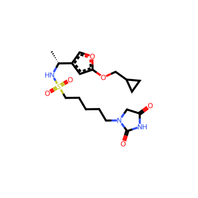 C[C@@H](NS(=O)(=O)CCCCCN1CC(=O)NC1=O)c1coc(OCC2CC2)c1